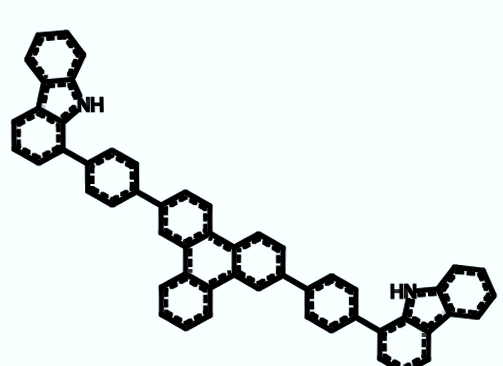 c1ccc2c(c1)[nH]c1c(-c3ccc(-c4ccc5c6ccc(-c7ccc(-c8cccc9c8[nH]c8ccccc89)cc7)cc6c6ccccc6c5c4)cc3)cccc12